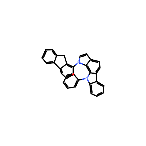 c1ccc(-n2c3ccccc3c3ccc4ccn(-c5cccc6c5Cc5ccccc5-6)c4c32)cc1